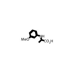 COc1cccc(NC(C)C(=O)O)c1